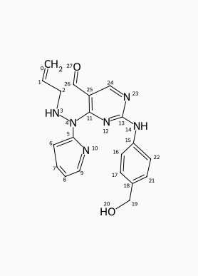 C=CCNN(c1ccccn1)c1nc(Nc2ccc(CO)cc2)ncc1C=O